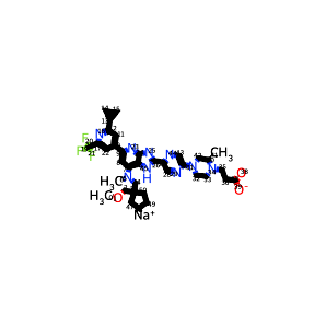 COCC1(CN(C)c2cc(-c3cc(C4CC4)nc(C(F)(F)F)c3)nc3nc(-c4cnc(N5CCN(CCC(=O)[O-])[C@@H](C)C5)cn4)[nH]c23)CCCC1.[Na+]